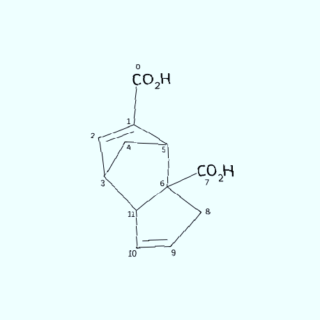 O=C(O)C1=CC2CC1C1(C(=O)O)CC=CC21